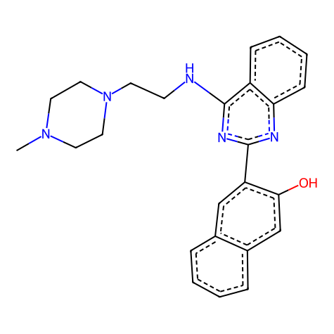 CN1CCN(CCNc2nc(-c3cc4ccccc4cc3O)nc3ccccc23)CC1